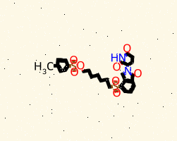 Cc1ccc(S(=O)(=O)OCCCCCCCS(=O)(=O)c2cccc3c2CN(C2CCC(=O)NC2=O)C3=O)cc1